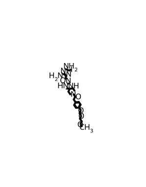 COCCOCOc1ccc(CC(=O)N2CCC3(CC2)CN/C(=N\C(=O)c2nc(I)c(N)nc2N)N3)cc1